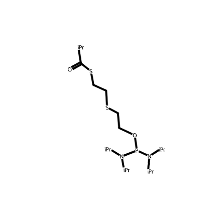 CC(C)C(=O)SCCSCCOP(N(C(C)C)C(C)C)N(C(C)C)C(C)C